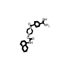 N=C(N)c1ccc(C(=O)N2CCN(OC(=O)Nc3cccc4ccccc34)CC2)cc1